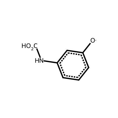 [O]c1cccc(NC(=O)O)c1